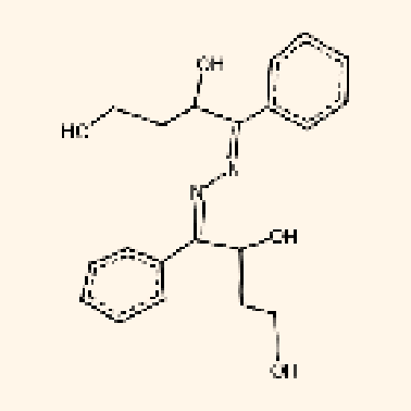 OCCC(O)C(=NN=C(c1ccccc1)C(O)CCO)c1ccccc1